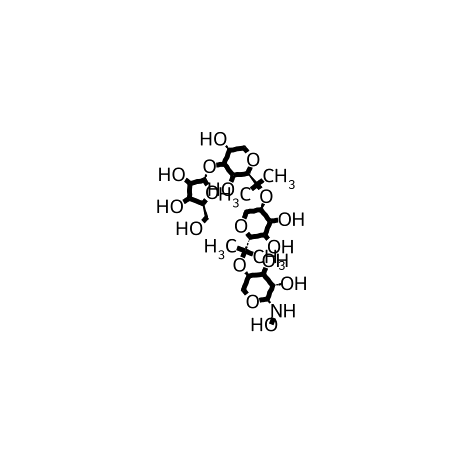 CC(C)(O[C@@H]1CO[C@@H](C(C)(C)O[C@@H]2CO[C@@H](NO)[C@@H](O)C2O)C(O)C1O)[C@@H]1OC[C@@H](O)C(O[C@@H]2O[C@@H](CO)C(O)C2O)C1O